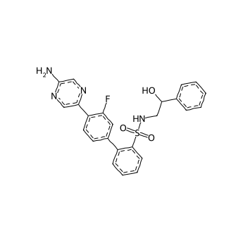 Nc1cnc(-c2ccc(-c3ccccc3S(=O)(=O)NCC(O)c3ccccc3)cc2F)cn1